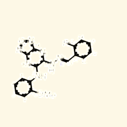 COc1ccccc1Nc1nc2nonc2nc1N/N=C/c1ccccc1F